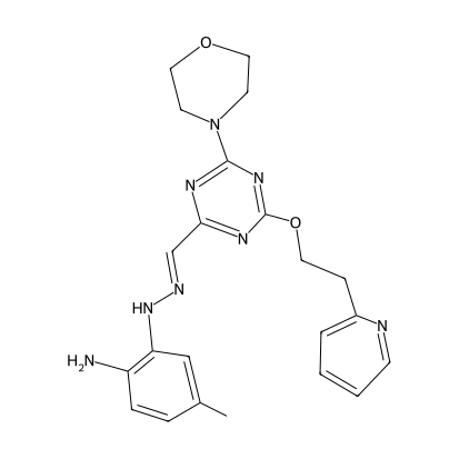 Cc1ccc(N)c(N/N=C/c2nc(OCCc3ccccn3)nc(N3CCOCC3)n2)c1